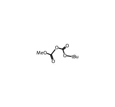 COC(=O)OC(=O)OC(C)(C)C